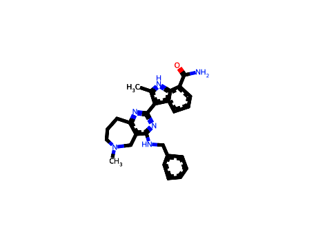 Cc1[nH]c2c(C(N)=O)cccc2c1-c1nc2c(c(NCc3ccccc3)n1)CN(C)CCC2